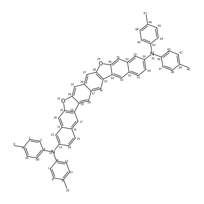 Cc1ccc(N(c2ccc(C)cc2)c2ccc3cc4c(cc3c2)oc2cc3cc5oc6cc7cc(N(c8ccc(C)cc8)c8ccc(C)cc8)ccc7cc6c5cc3cc24)cc1